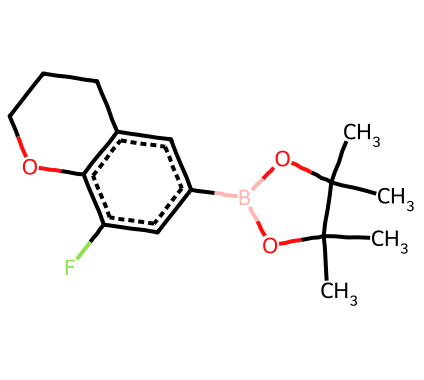 CC1(C)OB(c2cc(F)c3c(c2)CCCO3)OC1(C)C